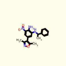 Cc1noc(C)c1-c1cc(NC(C)c2ccccc2)c(N)c([N+](=O)[O-])c1